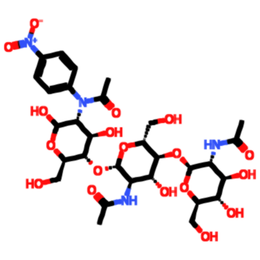 CC(=O)N[C@H]1[C@H](O[C@H]2[C@H](O)[C@@H](N(C(C)=O)c3ccc([N+](=O)[O-])cc3)C(O)O[C@@H]2CO)O[C@H](CO)[C@@H](O[C@@H]2O[C@H](CO)[C@@H](O)[C@H](O)[C@H]2NC(C)=O)[C@@H]1O